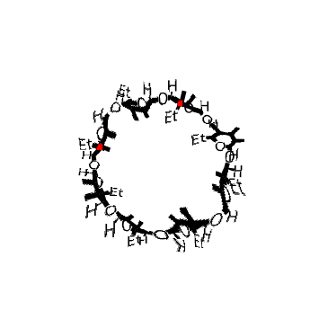 CCC1O[C@@H]2O[C@@H]3C(CC)O[C@H](O[C@@H]4C(CC)O[C@H](O[C@@H]5C(CC)O[C@H](O[C@@H]6C(CC)O[C@@H](O[C@@H]7C(CC)O[C@H](O[C@@H]8C(CC)O[C@H](O[C@@H]9C(CC)O[C@H](O[C@H]1C(C)C2C)C(C)C9C)C(C)C8C)C(C)C7C)C(C)C6C)C(C)C5C)C(C)C4C)C(C)C3C